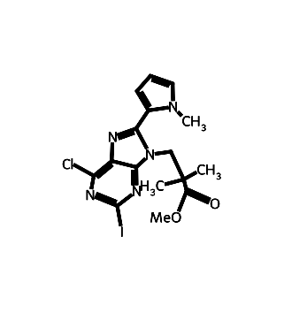 COC(=O)C(C)(C)Cn1c(-c2cccn2C)nc2c(Cl)nc(I)nc21